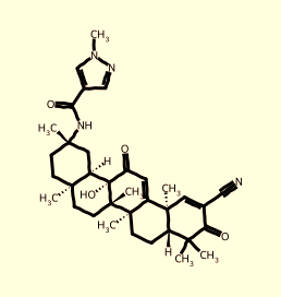 Cn1cc(C(=O)N[C@@]2(C)CC[C@]3(C)CC[C@@]4(C)[C@]5(C)CC[C@H]6C(C)(C)C(=O)C(C#N)=C[C@]6(C)C5=CC(=O)[C@]4(O)[C@@H]3C2)cn1